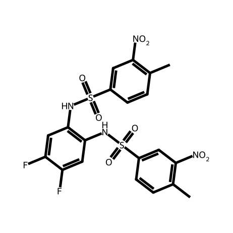 Cc1ccc(S(=O)(=O)Nc2cc(F)c(F)cc2NS(=O)(=O)c2ccc(C)c([N+](=O)[O-])c2)cc1[N+](=O)[O-]